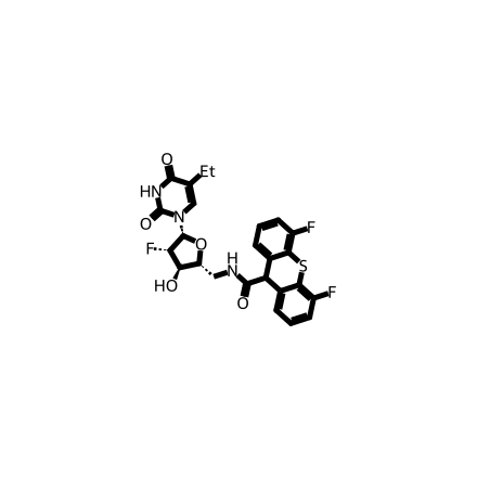 CCc1cn([C@@H]2O[C@H](CNC(=O)C3c4cccc(F)c4Sc4c(F)cccc43)[C@@H](O)[C@@H]2F)c(=O)[nH]c1=O